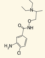 CCN(CC)C(C)CONC(=O)c1ccc(Cl)c(N)c1